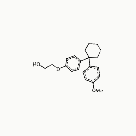 COc1ccc(C2(c3ccc(OCCO)cc3)CCCCC2)cc1